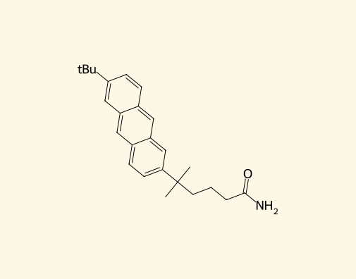 CC(C)(C)c1ccc2cc3cc(C(C)(C)CCCC(N)=O)ccc3cc2c1